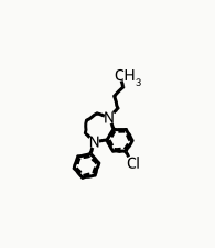 CCCCN1CCCN(c2ccccc2)c2cc(Cl)ccc21